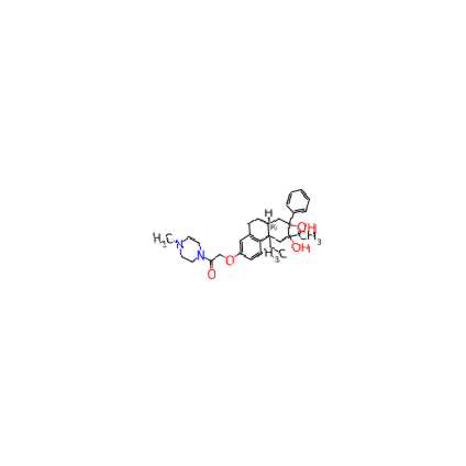 CCC12CC(C)(O)C(O)(c3ccccc3)C[C@H]1CCc1cc(OCC(=O)N3CCN(C)CC3)ccc12